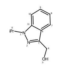 CC(C)n1nc(CO)c2ccccc21